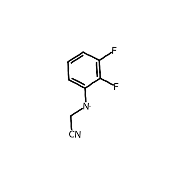 N#CC[N]c1cccc(F)c1F